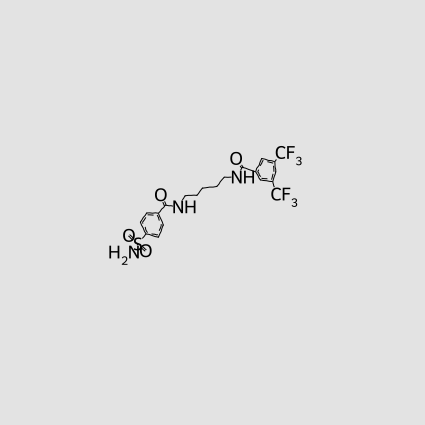 NS(=O)(=O)c1ccc(C(=O)NCCCCCNC(=O)c2cc(C(F)(F)F)cc(C(F)(F)F)c2)cc1